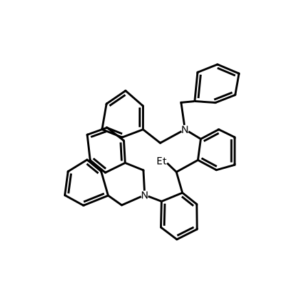 CCC(c1ccccc1N(Cc1ccccc1)Cc1ccccc1)c1ccccc1N(Cc1ccccc1)Cc1ccccc1